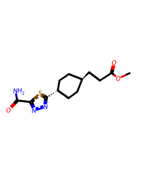 COC(=O)CC[C@H]1CC[C@H](c2nnc(C(N)=O)s2)CC1